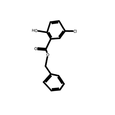 O=C(OCc1ccccc1)c1cc(Cl)ccc1O